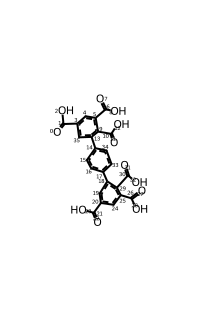 O=C(O)c1cc(C(=O)O)c(C(=O)O)c(-c2ccc(-c3cc(C(=O)O)cc(C(=O)O)c3C(=O)O)cc2)c1